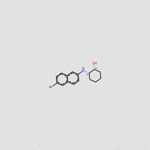 CC(=O)c1ccc2cc(N[C@H]3CCCC[C@H]3O)ccc2c1